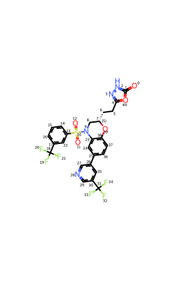 O=c1[nH]nc(CC[C@H]2CN(S(=O)(=O)c3cccc(C(F)(F)F)c3)c3cc(-c4cncc(C(F)(F)F)c4)ccc3O2)o1